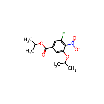 CC(C)OC(=O)c1cc(F)c([N+](=O)[O-])c(OC(C)C)c1